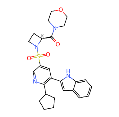 O=C([C@@H]1CCN1S(=O)(=O)c1cnc(C2CCCC2)c(-c2cc3ccccc3[nH]2)c1)N1CCOCC1